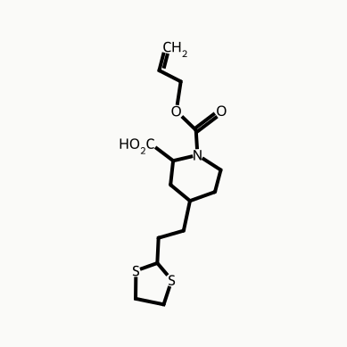 C=CCOC(=O)N1CCC(CCC2SCCS2)CC1C(=O)O